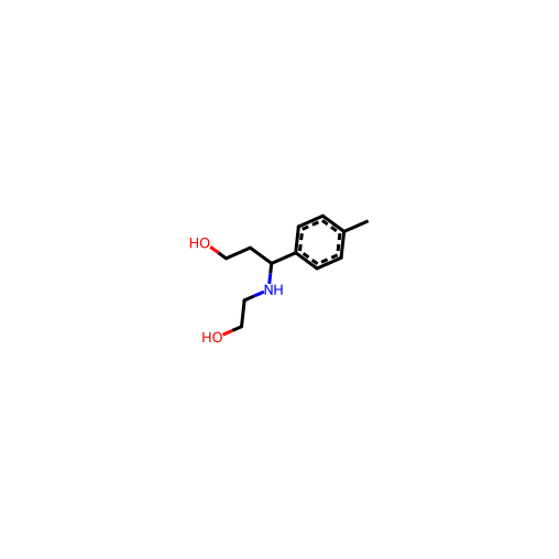 Cc1ccc(C(CCO)NCCO)cc1